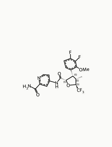 COc1c([C@@H]2[C@H](C)[C@@H](C(F)(F)F)O[C@@H]2C(=O)Nc2ccnc(C(N)=O)c2)ccc(F)c1F